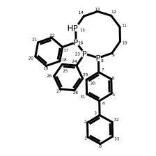 c1ccc(-c2ccc(P3CCCCCCPP(c4ccccc4)P3c3ccccc3)cc2)cc1